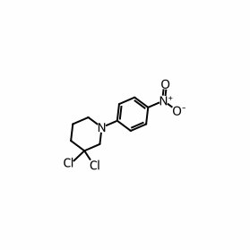 O=[N+]([O-])c1ccc(N2CCCC(Cl)(Cl)C2)cc1